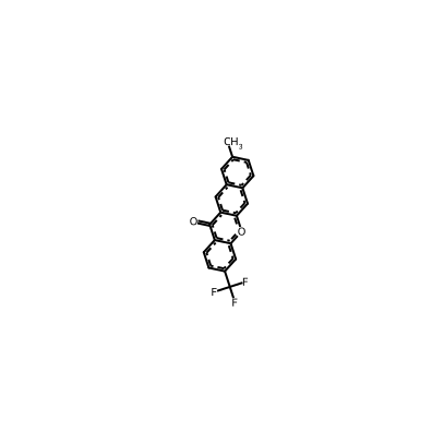 Cc1ccc2cc3oc4cc(C(F)(F)F)ccc4c(=O)c3cc2c1